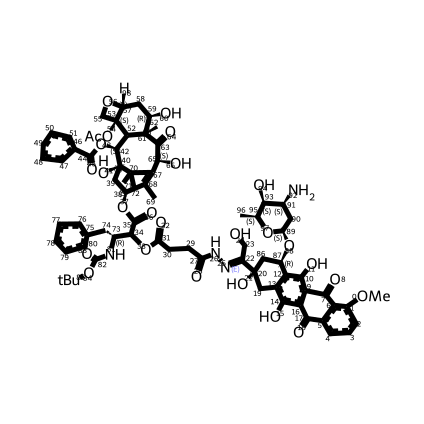 COc1cccc2c1C(=O)c1c(O)c3c(c(O)c1C2=O)C[C@](O)(/C(CO)=N/NC(=O)CCC(=O)OC(C(=O)O[C@H]1C[C@]2(O)[C@@H](OC(=O)c4ccccc4)C4[C@]5(OC(C)=O)CO[C@@H]5C[C@@H](O)[C@]4(C)C(=O)[C@@H](O)C(=C1C)C2(C)C)[C@@H](Cc1ccccc1)NC(=O)OC(C)(C)C)C[C@H]3O[C@@H]1C[C@H](N)[C@H](O)[C@H](C)O1